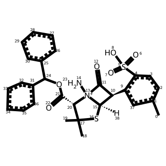 Cc1ccc(S(=O)(=O)O)c([C@@H]2C(=O)[N+]3(N)[C@@H]2SC(C)(C)[C@@H]3C(=O)OC(c2ccccc2)c2ccccc2)c1